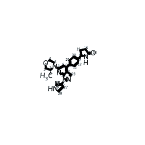 C[C@@H]1COCCN1c1cc(-c2ccc(C3CCC(=O)N3)cc2)c2cnn(-c3cc[nH]n3)c2n1